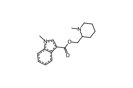 CN1CCCCC1COC(=O)c1cn(C)c2ccccc12